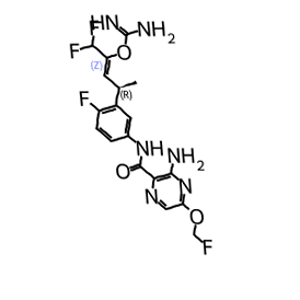 C[C@H](/C=C(\OC(=N)N)C(F)F)c1cc(NC(=O)c2ncc(OCF)nc2N)ccc1F